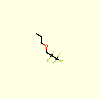 CCCOCC(F)(F)C(F)(F)F